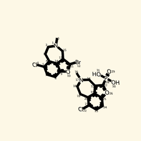 CN1CCc2c(Cl)ccc3oc(Br)c(c23)C1.CN1CCc2c(Cl)ccc3oc(P(=O)(O)O)c(c23)C1